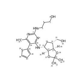 Cc1nc(NCCCO)nc(N[C@@H]2C[C@H](CO)[C@H]3OC(C)(C)O[C@H]32)c1-c1cccs1